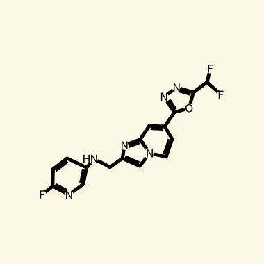 Fc1ccc(NCc2cn3ccc(-c4nnc(C(F)F)o4)cc3n2)cn1